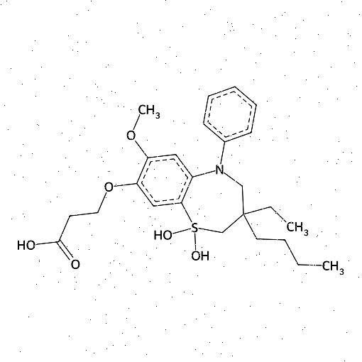 CCCCC1(CC)CN(c2ccccc2)c2cc(OC)c(OCCC(=O)O)cc2S(O)(O)C1